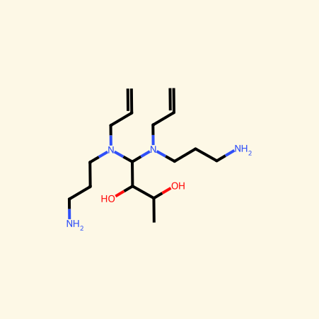 C=CCN(CCCN)C(C(O)C(C)O)N(CC=C)CCCN